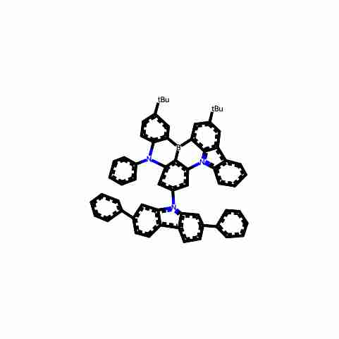 CC(C)(C)c1ccc2c(c1)B1c3c(cc(-n4c5cc(-c6ccccc6)ccc5c5ccc(-c6ccccc6)cc54)cc3-n3c4ccccc4c4cc(C(C)(C)C)cc1c43)N2c1ccccc1